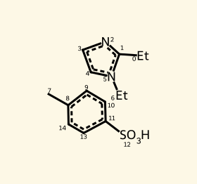 CCc1nccn1CC.Cc1ccc(S(=O)(=O)O)cc1